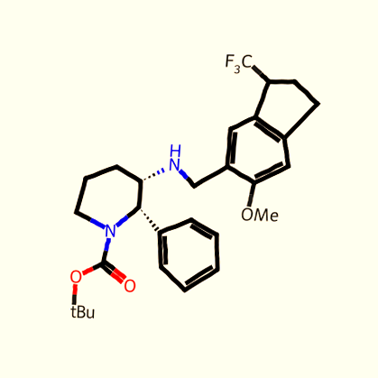 COc1cc2c(cc1CN[C@H]1CCCN(C(=O)OC(C)(C)C)[C@H]1c1ccccc1)C(C(F)(F)F)CC2